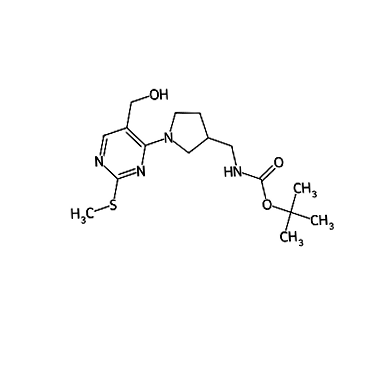 CSc1ncc(CO)c(N2CCC(CNC(=O)OC(C)(C)C)C2)n1